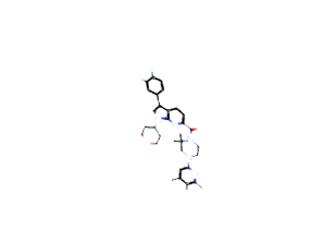 Cc1cc(N2CCN(C(=O)c3ccc4c(-c5ccc(Cl)c(F)c5)cn(C5CCOCC5)c4n3)C(C)(C)C2)nc(C)c1C(=O)O